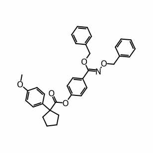 COc1ccc(C2(C(=O)Oc3ccc(C(=NOCc4ccccc4)OCc4ccccc4)cc3)CCCC2)cc1